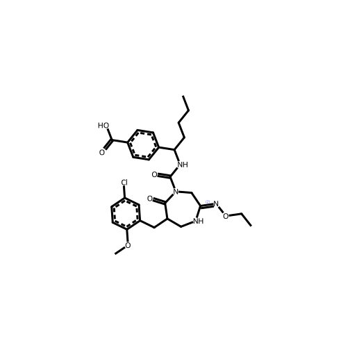 CCCCC(NC(=O)N1C/C(=N/OCC)NCC(Cc2cc(Cl)ccc2OC)C1=O)c1ccc(C(=O)O)cc1